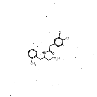 Cc1ccccc1CC(CC(=O)O)NC(=O)Cc1ccc(Cl)c(Cl)c1